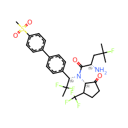 CC(C)(F)C[C@H](N)C(=O)N([C@@H]1C(=O)CCC1C(F)(F)F)[C@@H](c1ccc(-c2ccc(S(C)(=O)=O)cc2)cc1)C(C)(F)F